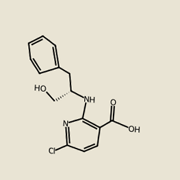 O=C(O)c1ccc(Cl)nc1N[C@H](CO)Cc1ccccc1